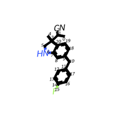 CC(C#N)C1(C)CNc2cc(Cc3ccc(F)cc3)ccc21